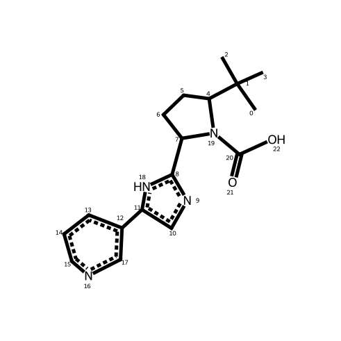 CC(C)(C)C1CCC(c2ncc(-c3cccnc3)[nH]2)N1C(=O)O